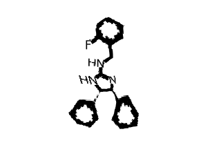 Fc1ccccc1CNC1=N[C@@H](c2ccccc2)[C@H](c2ccccc2)N1